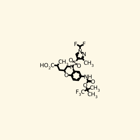 Cc1nn(C(F)F)cc1S(=O)(=O)N1CC(CC(C)C(=O)O)Oc2ccc(NC(=O)OC(C)(C)C(F)(F)F)cc21